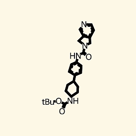 CC(C)(C)OC(=O)NC1CCC(c2ccc(NC(=O)N3Cc4ccncc4C3)cc2)CC1